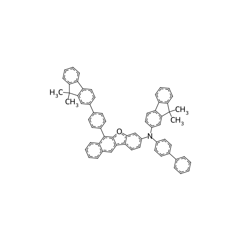 CC1(C)c2ccccc2-c2ccc(-c3ccc(-c4c5ccccc5cc5c4oc4cc(N(c6ccc(-c7ccccc7)cc6)c6ccc7c(c6)C(C)(C)c6ccccc6-7)ccc45)cc3)cc21